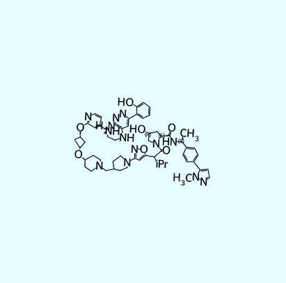 CC(C)C(C(=O)N1C[C@H](O)C[C@H]1C(=O)N[C@@H](C)c1ccc(-c2ccnn2C)cc1)c1cc(N2CCC(CN3CCC(O[C@H]4C[C@H](Oc5cc(NCCNc6cc(-c7ccccc7O)nnc6N)ccn5)C4)CC3)CC2)no1